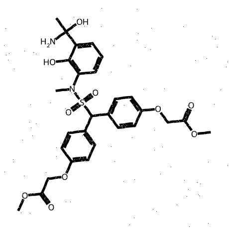 COC(=O)COc1ccc(C(c2ccc(OCC(=O)OC)cc2)S(=O)(=O)N(C)c2cccc(C(C)(N)O)c2O)cc1